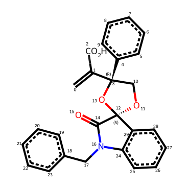 C=C(C(=O)O)[C@]1(c2ccccc2)CO[C@@]2(O1)C(=O)N(Cc1ccccc1)c1ccccc12